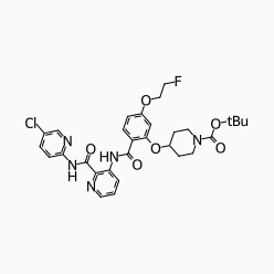 CC(C)(C)OC(=O)N1CCC(Oc2cc(OCCF)ccc2C(=O)Nc2cccnc2C(=O)Nc2ccc(Cl)cn2)CC1